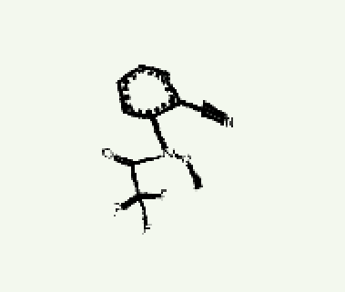 CON(C(=O)C(F)(F)F)c1ccccc1C#N